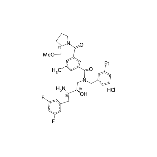 CCc1cccc(CN(C[C@@H](O)[C@@H](N)Cc2cc(F)cc(F)c2)C(=O)c2cc(C)cc(C(=O)N3CCC[C@H]3COC)c2)c1.Cl